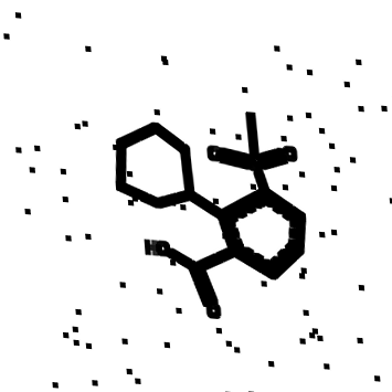 CS(=O)(=O)c1cccc(C(=O)O)c1C1CCCCC1